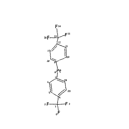 FC(F)(F)c1cc[c]([Pt][c]2ccc(C(F)(F)F)cc2)cc1